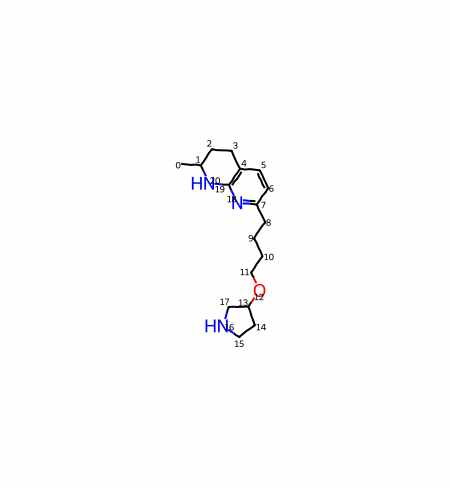 CC1CCc2ccc(CCCCOC3CCNC3)nc2N1